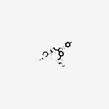 Cc1ccc(S(=O)(=O)n2cc(-c3cncc(N[C@@H]4CCCN(C(=O)OC(C)(C)C)C4)n3)c3cc(-c4cncc(OC(C)C)n4)ccc32)cc1